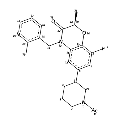 CC(=O)N1CCCC(c2cc(F)c3c(c2)N(Cc2cccnc2C)C(=O)[C@@H](C)O3)C1